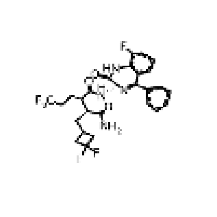 NC(=O)[C@@H](CC1CC(F)(F)C1)[C@@H](CCC(F)(F)F)C(=O)N[C@H]1N=C(c2ccccc2)c2cccc(F)c2NC1=O